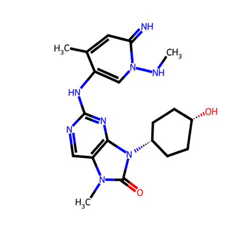 CNn1cc(Nc2ncc3c(n2)n([C@H]2CC[C@@H](O)CC2)c(=O)n3C)c(C)cc1=N